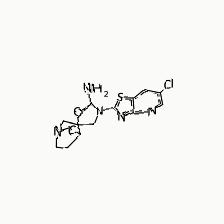 NC1OC2(CN3CCC2CC3)CN1c1nc2ncc(Cl)cc2s1